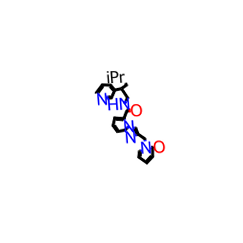 CC(C)CC(CNC(=O)c1cccc2nc(Cn3ccccc3=O)cn12)c1cccnc1